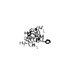 CC[C@@H](C(=O)OC)[C@H](NC(=O)OCc1ccccc1)C(=O)Nc1sc(C)c(C)c1C(=O)c1ccc(Cl)cc1